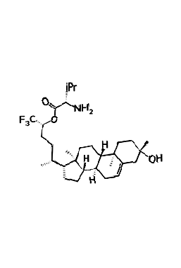 CC(C)[C@H](N)C(=O)O[C@H](CC[C@@H](C)[C@H]1CC[C@H]2[C@@H]3CC=C4C[C@@](C)(O)CC[C@]4(C)[C@H]3CC[C@]12C)C(F)(F)F